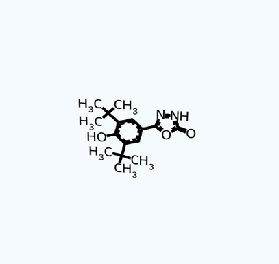 CC(C)(C)c1cc(-c2n[nH]c(=O)o2)cc(C(C)(C)C)c1O